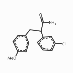 COc1ccc(CC(C(N)=O)c2cccc(Cl)c2)cc1